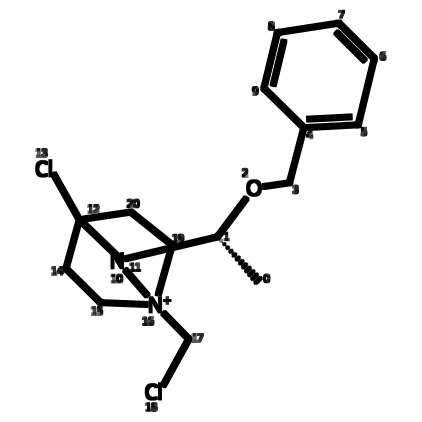 C[C@@H](OCc1ccccc1)N1CC2(Cl)CC[N+]1(CCl)CC2